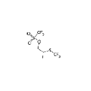 CC(COS(=O)(=O)C(F)(F)F)SC(F)(F)F